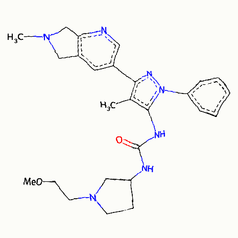 COCCN1CCC(NC(=O)Nc2c(C)c(-c3cnc4c(c3)CN(C)C4)nn2-c2ccccc2)C1